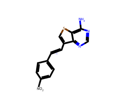 Nc1ncnc2c(/C=C/c3ccc([N+](=O)[O-])cc3)csc12